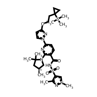 Cc1nn(C)cc1S(=O)(=O)NC(=O)c1ccc(-n2ccc(OCCC3(S(C)(C)C)CC3)n2)nc1N1C[C@@H](C)CC1(C)C